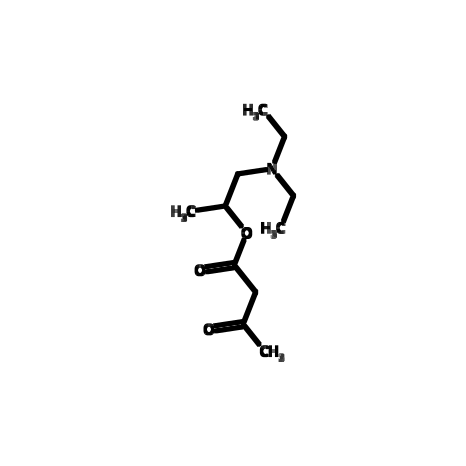 CCN(CC)CC(C)OC(=O)CC(C)=O